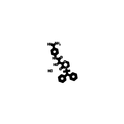 CC(C)(C(c1ccccc1)c1ccccc1)N1CCOC(C(O)C(=O)Nc2ccc(C(=N)N)cc2)C1=O.Cl